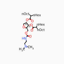 CCCCCCCCC(CCCCCC)C(=O)O[C@@H]1[C@@H](OC(=O)C(CCCCCC)CCCCCCCC)CO[C@@H]1COC(=O)NCCN(C)C